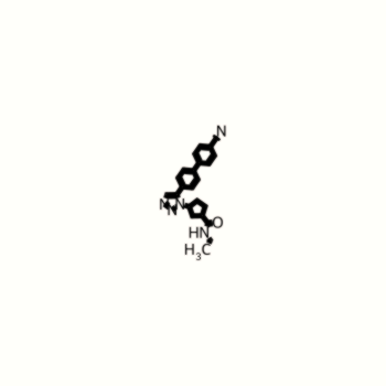 CCNC(=O)C1CCC(n2nncc2-c2ccc(-c3ccc(C#N)cc3)cc2)C1